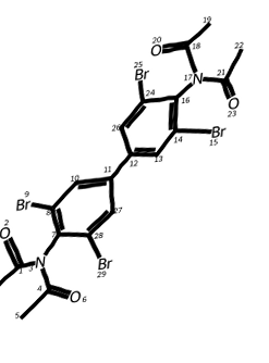 CC(=O)N(C(C)=O)c1c(Br)cc(-c2cc(Br)c(N(C(C)=O)C(C)=O)c(Br)c2)cc1Br